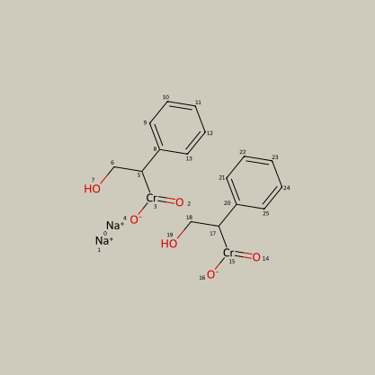 [Na+].[Na+].[O]=[Cr]([O-])[CH](CO)c1ccccc1.[O]=[Cr]([O-])[CH](CO)c1ccccc1